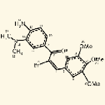 COc1cc(/C=C(/Br)C(=O)c2ccc(N)c(N(C)C)c2)cc(OC)c1OC